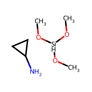 CO[SiH](OC)OC.NC1CC1